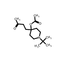 CC(=O)CCC1(OC(C)=O)CCN(C(C)(C)C)CC1